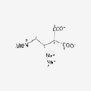 CNCCC(C(=O)[O-])C(=O)[O-].[Na+].[Na+]